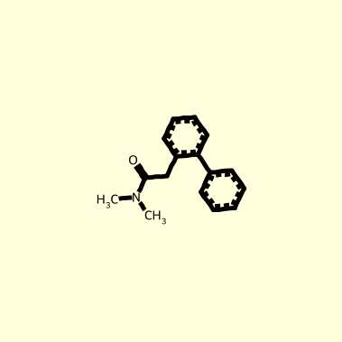 CN(C)C(=O)Cc1ccccc1-c1ccccc1